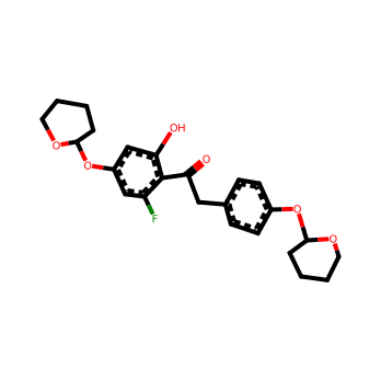 O=C(Cc1ccc(OC2CCCCO2)cc1)c1c(O)cc(OC2CCCCO2)cc1F